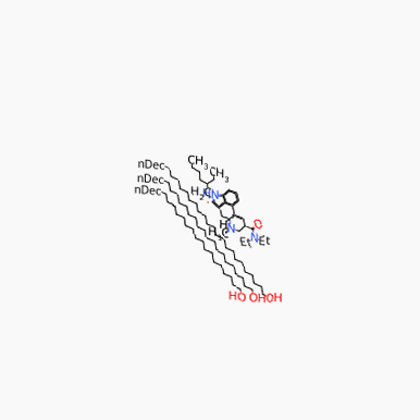 CCCCCCCCCCCCCCCCCCCCCCCCCCCCCCCCO.CCCCCCCCCCCCCCCCCCCCCCCCCCCCCO.CCCCCCCCCCCCCCCCCCCCCCCCCCCO.CCN(CC)C(=O)[C@@H]1C=C2c3cccc4[nH]cc(c34)C[C@H]2N(C)C1.[CH2]C(CC)CCCC